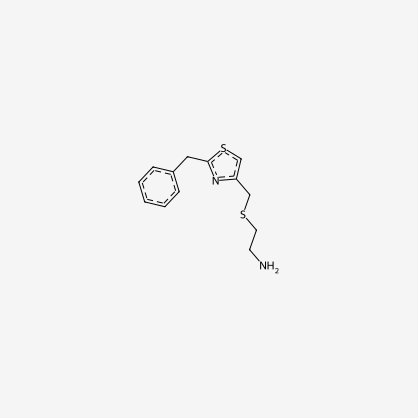 NCCSCc1csc(Cc2ccccc2)n1